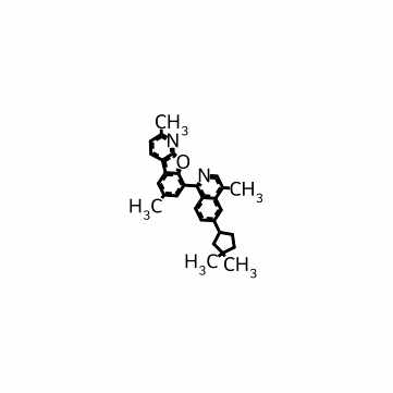 Cc1cc(-c2ncc(C)c3cc(C4CCC(C)(C)C4)ccc23)c2oc3nc(C)ccc3c2c1